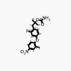 Cc1cc([N+](=O)[O-])ccc1Oc1ccc(CC(C)(C)OC(N)=O)c(F)c1